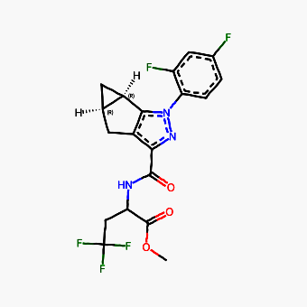 COC(=O)C(CC(F)(F)F)NC(=O)c1nn(-c2ccc(F)cc2F)c2c1C[C@H]1C[C@@H]21